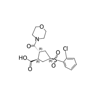 O=C(O)[C@@H]1C[C@H](S(=O)(=O)c2ccccc2Cl)C[C@H]1C(=O)N1CCOCC1